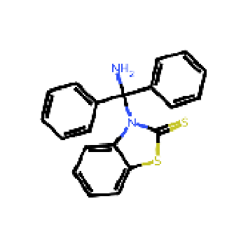 NC(c1ccccc1)(c1ccccc1)n1c(=S)sc2ccccc21